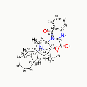 CCOC(=O)c1nc2ccccc2c(=O)n1C1C[C@H]2CCCCC1CN2C1C[C@H]2CCCC[C@@H](C1)C2